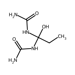 CCC(O)(NC(N)=O)NC(N)=O